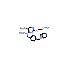 CNc1cnc(OCCOC)nc1N(C=O)Cc1ccc(CN2CC3CCC2C3)cc1